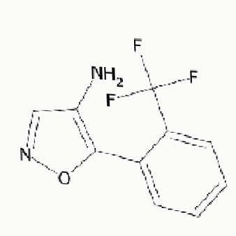 Nc1cnoc1-c1ccccc1C(F)(F)F